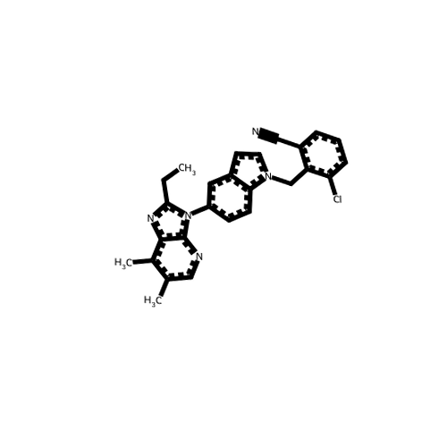 CCc1nc2c(C)c(C)cnc2n1-c1ccc2c(ccn2Cc2c(Cl)cccc2C#N)c1